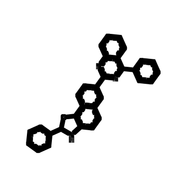 c1ccc(-c2nc(-c3ccc4c5c(ccc4c3)NC(c3ccccc3)O5)nc3ccccc23)cc1